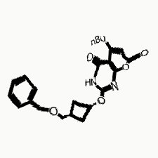 CCCCc1cc(=O)oc2nc(O[C@H]3C[C@H](COCc4ccccc4)C3)[nH]c(=O)c12